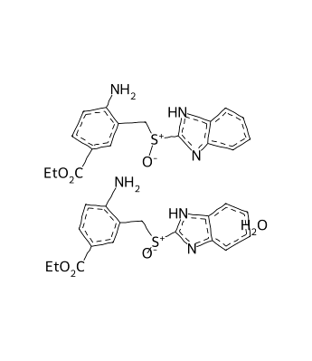 CCOC(=O)c1ccc(N)c(C[S+]([O-])c2nc3ccccc3[nH]2)c1.CCOC(=O)c1ccc(N)c(C[S+]([O-])c2nc3ccccc3[nH]2)c1.O